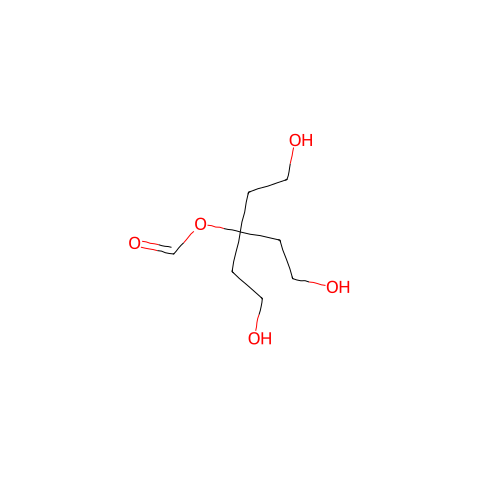 O=COC(CCO)(CCO)CCO